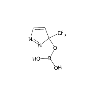 OB(O)OC1(C(F)(F)F)C=CN=N1